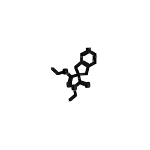 CCOC(=O)C1(C(=O)OCC)Cc2ccncc2C1